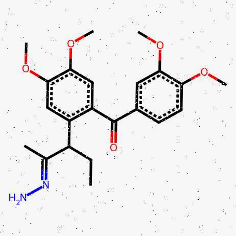 CCC(/C(C)=N/N)c1cc(OC)c(OC)cc1C(=O)c1ccc(OC)c(OC)c1